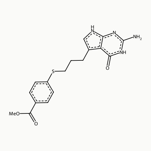 COC(=O)c1ccc(SCCCc2c[nH]c3nc(N)[nH]c(=O)c23)cc1